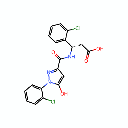 O=C(O)C[C@H](NC(=O)c1cc(O)n(-c2ccccc2Cl)n1)c1ccccc1Cl